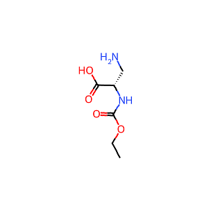 CCOC(=O)N[C@@H](CN)C(=O)O